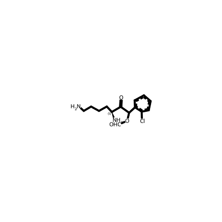 NCCCC[C@H](N)C(=O)C(O[C]=O)c1ccccc1Cl